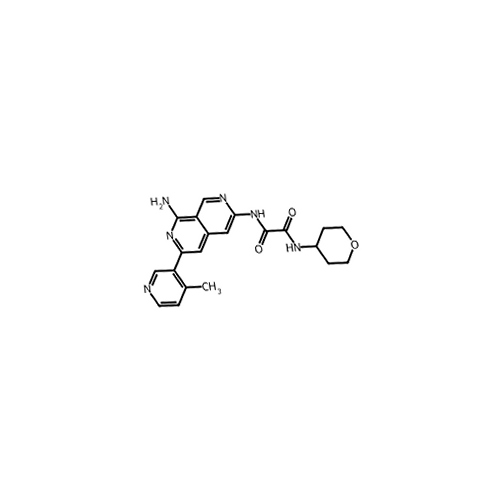 Cc1ccncc1-c1cc2cc(NC(=O)C(=O)NC3CCOCC3)ncc2c(N)n1